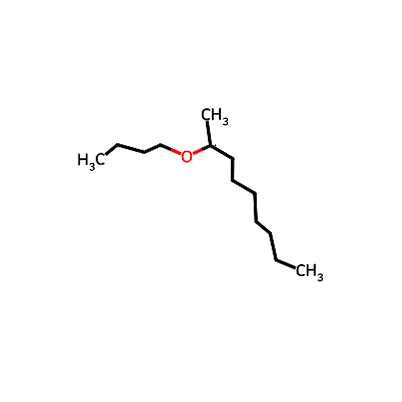 CCCCCCC[C](C)OCCCC